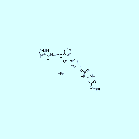 Br.CC(C)(C)OC(=O)C[C@@H](N)NC(=O)OCc1ccc(C(=O)c2ccccc2OCC=NNC2=NCCN2)cc1